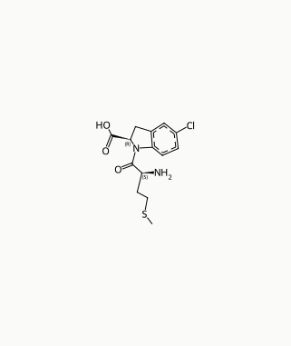 CSCC[C@H](N)C(=O)N1c2ccc(Cl)cc2C[C@@H]1C(=O)O